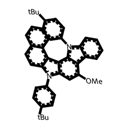 COc1cc2c(c3c4ccccc4ccc3n2-c2ccc(C(C)(C)C)cc2)c2c1c1ccccc1n2-c1ccc(C(C)(C)C)cc1